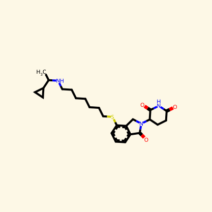 CC(NCCCCCCCSc1cccc2c1CN(C1CCC(=O)NC1=O)C2=O)C1CC1